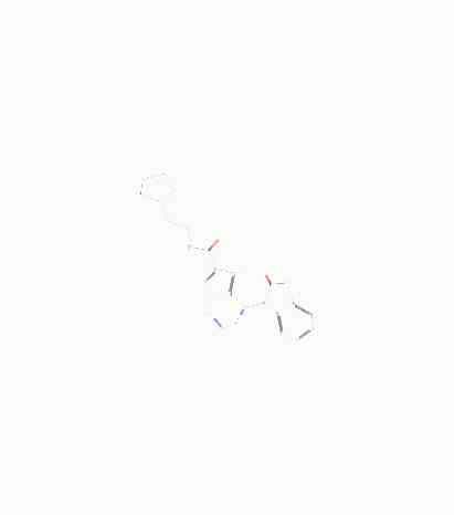 Cc1c(C(=O)NCCN2CCCC2)cn2ncnc(C3C(=O)Nc4ccccc43)c12